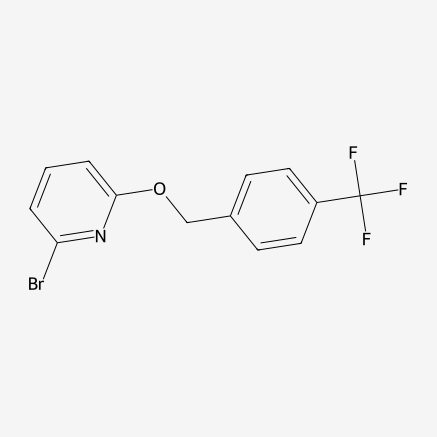 FC(F)(F)c1ccc(COc2cccc(Br)n2)cc1